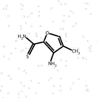 Cc1coc(C(N)=S)c1N